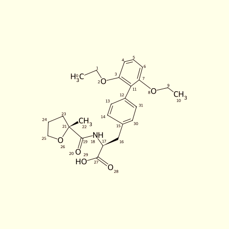 CCOc1cccc(OCC)c1-c1ccc(C[C@H](NC(=O)[C@@]2(C)CCCO2)C(=O)O)cc1